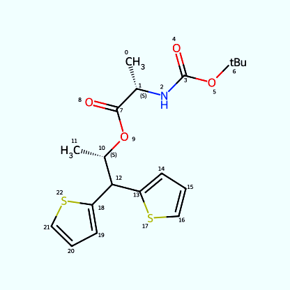 C[C@H](NC(=O)OC(C)(C)C)C(=O)O[C@@H](C)C(c1cccs1)c1cccs1